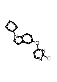 Clc1nccc(Oc2ccc3c(ccn3-c3ccccc3)c2)n1